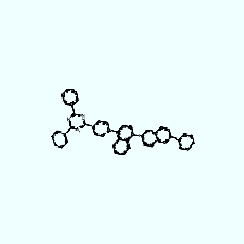 c1ccc(-c2ccc3cc(-c4ccc(-c5ccc(-c6nc(-c7ccccc7)nc(-c7ccccc7)n6)cc5)c5ccccc45)ccc3c2)cc1